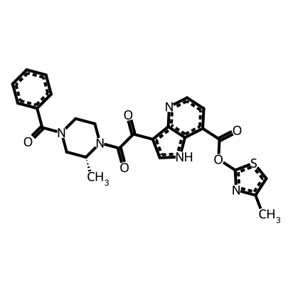 Cc1csc(OC(=O)c2ccnc3c(C(=O)C(=O)N4CCN(C(=O)c5ccccc5)C[C@H]4C)c[nH]c23)n1